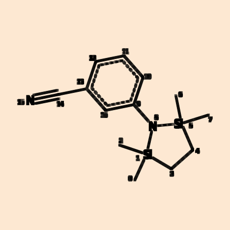 C[Si]1(C)CC[Si](C)(C)N1c1cccc(C#N)c1